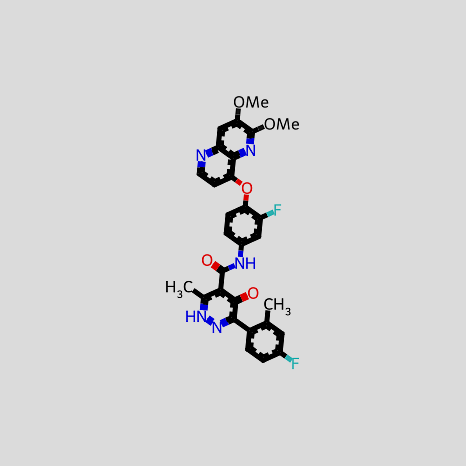 COc1cc2nccc(Oc3ccc(NC(=O)c4c(C)[nH]nc(-c5ccc(F)cc5C)c4=O)cc3F)c2nc1OC